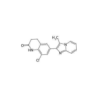 Cc1c(-c2cc(Cl)c3c(c2)CCC(=O)N3)nc2ccccn12